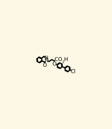 O=C(O)[C@@H](CCn1ncc2ccccc2c1=O)Oc1ccc(-c2ccc(Cl)cc2)cc1